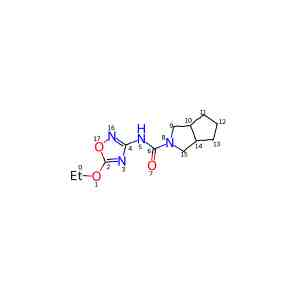 CCOc1nc(NC(=O)N2CC3CCCC3C2)no1